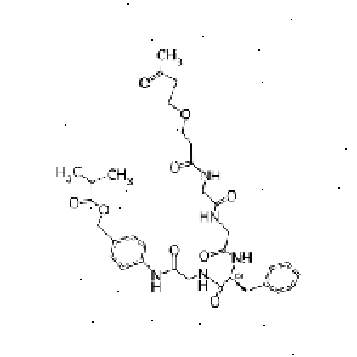 CC(=O)CCOCCC(=O)NCC(=O)NCC(=O)N[C@@H](Cc1ccccc1)C(=O)NCC(=O)Nc1ccc(COC(=O)C(C)C)cc1